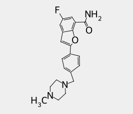 CN1CCN(Cc2ccc(-c3cc4cc(F)cc(C(N)=O)c4o3)cc2)CC1